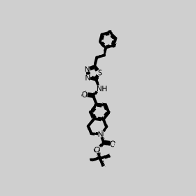 CC(C)(C)OC(=O)N1CCc2cc(C(=O)Nc3nnc(CCc4ccccc4)s3)ccc2C1